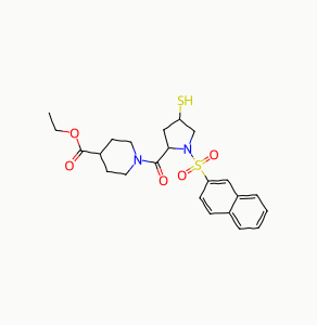 CCOC(=O)C1CCN(C(=O)C2CC(S)CN2S(=O)(=O)c2ccc3ccccc3c2)CC1